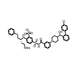 CNCC[C@H](CSc1ccccc1)Nc1ccc(S(=O)(=O)NC(=O)c2cccc(N3CCC([C@@H](O)c4ccccc4-c4ccc(Cl)cc4)CC3)c2)cc1S(=O)(=O)C(F)(F)F